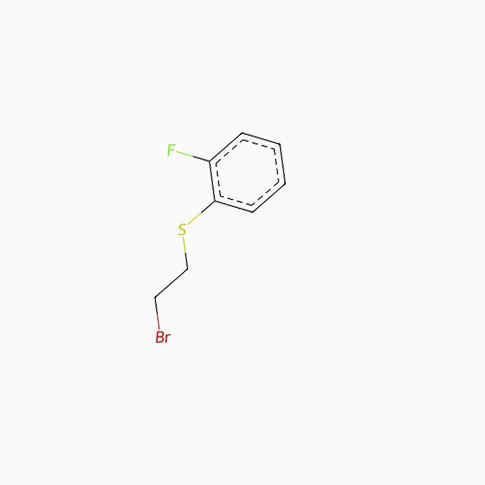 Fc1ccccc1SCCBr